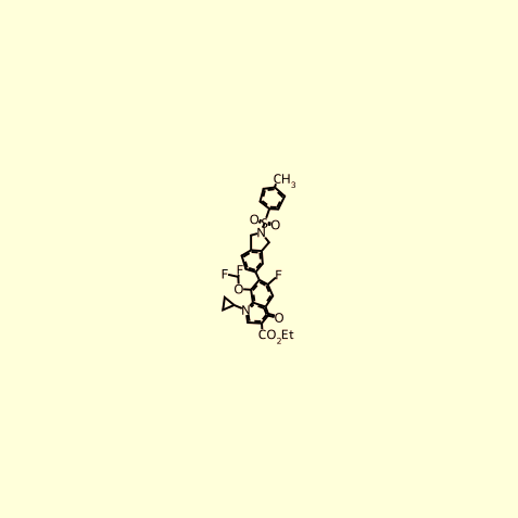 CCOC(=O)c1cn(C2CC2)c2c(OC(F)F)c(-c3ccc4c(c3)CN(S(=O)(=O)c3ccc(C)cc3)C4)c(F)cc2c1=O